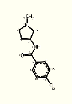 CN1CC[C@H](NC(=O)c2ccc(Cl)cc2)C1